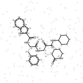 O=C(NC1CCCCC1)C(=O)[C@H](C[C@@H]1CCCNC1=O)NC(=O)[C@H](Cc1ccccc1)NC(=O)c1cc2ccccc2[nH]1